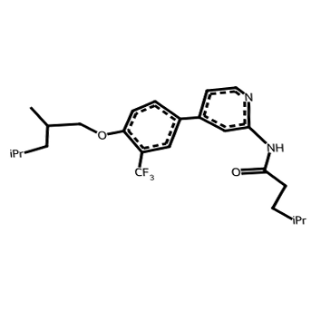 CC(C)CCC(=O)Nc1cc(-c2ccc(OCC(C)CC(C)C)c(C(F)(F)F)c2)ccn1